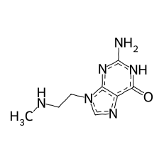 CNCCn1cnc2c(=O)[nH]c(N)nc21